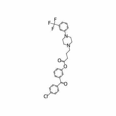 O=C(CCCN1CCN(c2cccc(C(F)(F)F)c2)CC1)Oc1cccc(C(=O)c2ccc(Cl)cc2)c1